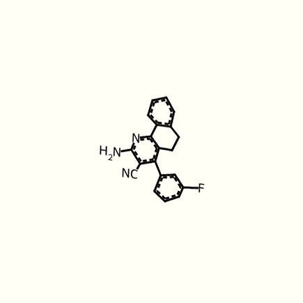 N#Cc1c(N)nc2c(c1-c1cccc(F)c1)CCc1ccccc1-2